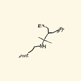 CCCC(C)CNC(C)(C)C(CC)C(C)C